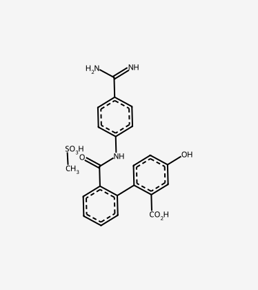 CS(=O)(=O)O.N=C(N)c1ccc(NC(=O)c2ccccc2-c2ccc(O)cc2C(=O)O)cc1